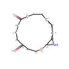 O=C1CCCCCCC2NC2OCCC(=O)CCC1